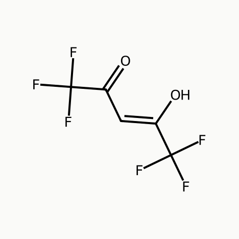 O=C(C=C(O)C(F)(F)F)C(F)(F)F